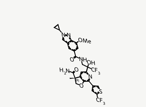 COc1cc(C(=O)NCC(O)(c2cc3c(c(-c4csc(C(F)(F)F)c4)n2)OC[C@]3(C)C(N)=O)C(F)(F)F)cc2cn(C3CC3)nc12